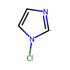 Cln1[c]ncc1